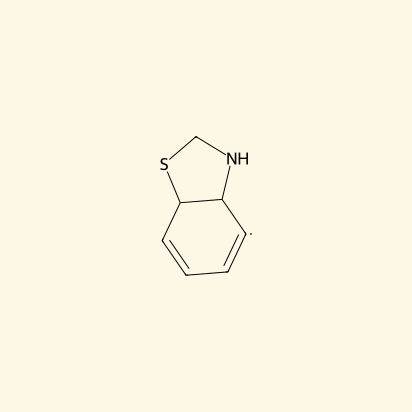 [C]1=CC=CC2SCNC12